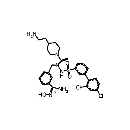 C=C(N1CCC(CCN)CC1)N(Cc1cccc(/C(N)=N\O)c1)NS(=O)(=O)c1cccc(-c2ccc(Cl)cc2Cl)c1